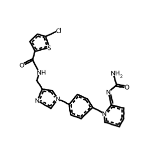 NC(=O)N=c1ccccn1-c1ccc(-n2cnc(CNC(=O)c3ccc(Cl)s3)c2)cc1